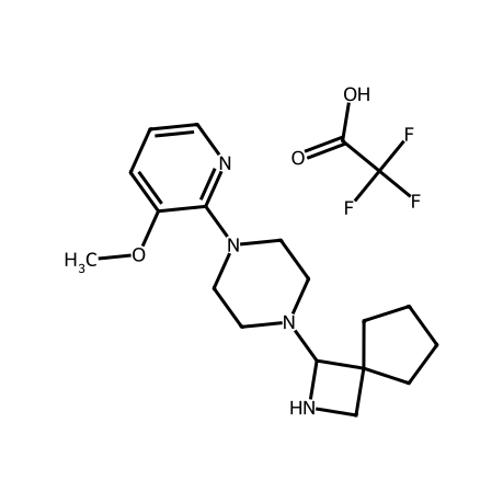 COc1cccnc1N1CCN(C2NCC23CCCC3)CC1.O=C(O)C(F)(F)F